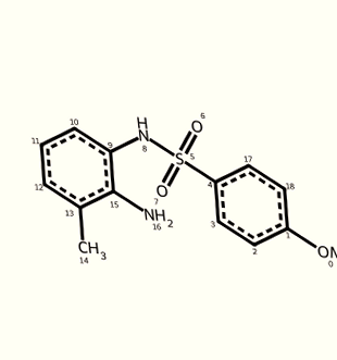 COc1ccc(S(=O)(=O)Nc2cccc(C)c2N)cc1